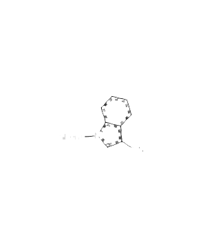 CCCCCn1cc(C#N)c2ccccc21